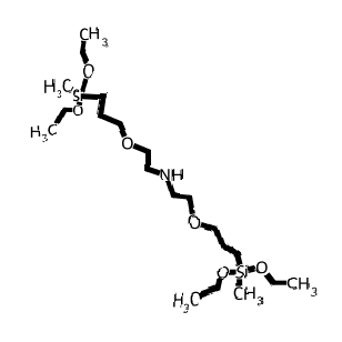 CCO[Si](C)(CCCOCCNCCOCCC[Si](C)(OCC)OCC)OCC